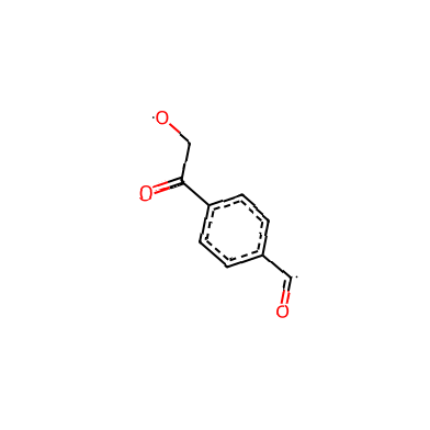 [O]CC(=O)c1ccc([C]=O)cc1